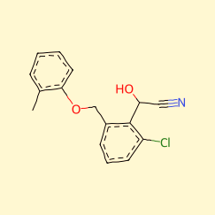 Cc1ccccc1OCc1cccc(Cl)c1C(O)C#N